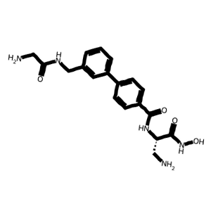 NCC(=O)NCc1cccc(-c2ccc(C(=O)N[C@@H](CN)C(=O)NO)cc2)c1